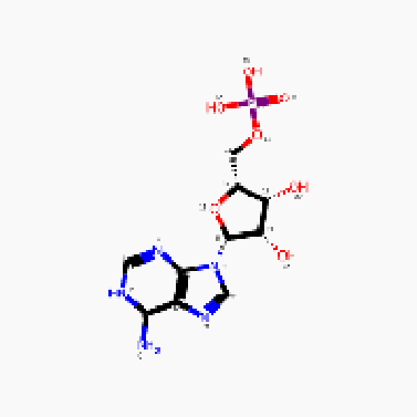 NC1NC=Nc2c1ncn2[C@@H]1O[C@H](COP(=O)(O)O)[C@H](O)[C@@H]1O